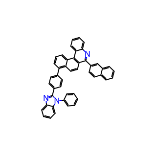 c1ccc(-n2c(-c3ccc(-c4cccc5c4ccc4c(-c6ccc7ccccc7c6)nc6ccccc6c45)cc3)nc3ccccc32)cc1